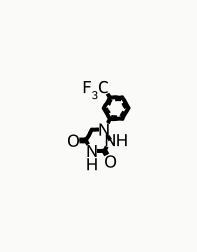 O=C1CN(c2cccc(C(F)(F)F)c2)NC(=O)N1